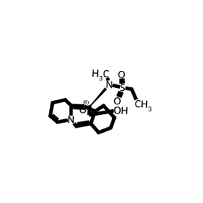 CCS(=O)(=O)N(C)[C@@H]1OC2=C3CCC=CN3C=C3CCCCC32C1O